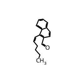 CCCC/C=C\c1c(C=O)ccc2ccccc12